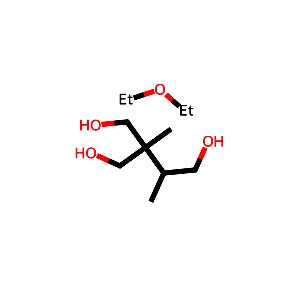 CC(CO)C(C)(CO)CO.CCOCC